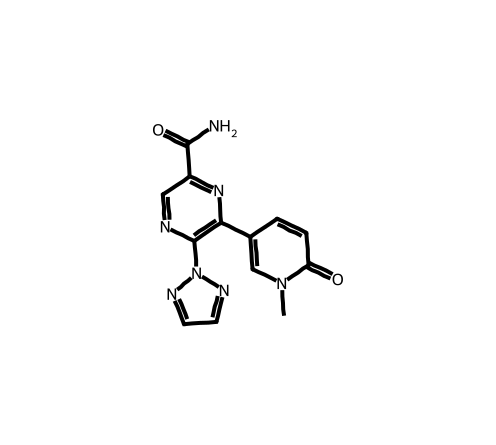 Cn1cc(-c2nc(C(N)=O)cnc2-n2nccn2)ccc1=O